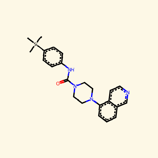 C[Si](C)(C)c1ccc(NC(=O)N2CCN(c3cccc4cnccc34)CC2)cc1